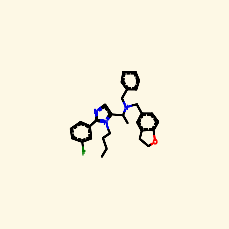 CCCCn1c(C(C)N(Cc2ccccc2)Cc2ccc3c(c2)CCO3)cnc1-c1cccc(F)c1